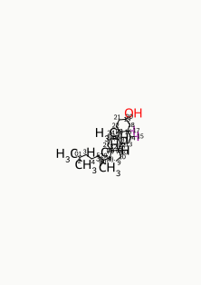 CC(C)CCC[C@@H](C)[C@H]1CC[C@H]2[C@@H]3CC(I)C4(I)CC(O)CC[C@]4(C)[C@H]3CC[C@]12C